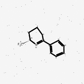 FC(F)(F)[C@@H]1CCCC(c2ccccc2)=N1